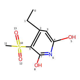 CCc1cc(O)nc(O)c1S(C)(=O)=O